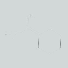 CCCCC(C(=O)OCC)=C1CCCCC1